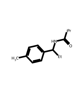 CCC(NC(=O)C(C)C)c1ccc(C)cc1